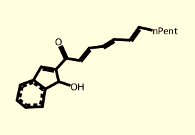 CCCCCC=CC=CC=CC(=O)C1=Cc2ccccc2C1O